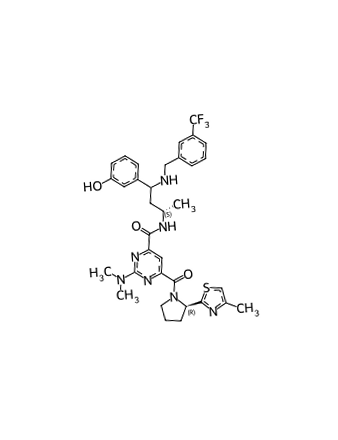 Cc1csc([C@H]2CCCN2C(=O)c2cc(C(=O)N[C@@H](C)CC(NCc3cccc(C(F)(F)F)c3)c3cccc(O)c3)nc(N(C)C)n2)n1